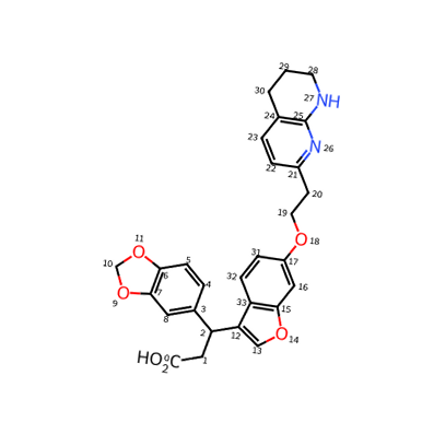 O=C(O)CC(c1ccc2c(c1)OCO2)c1coc2cc(OCCc3ccc4c(n3)NCCC4)ccc12